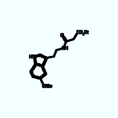 CCOC(=O)CC(=O)NCCc1c[nH]c2ccc(OC)cc12